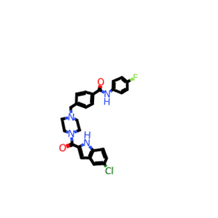 O=C(Nc1ccc(F)cc1)c1ccc(CN2CCN(C(=O)c3cc4cc(Cl)ccc4[nH]3)CC2)cc1